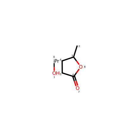 CC(C)O.CC1CCC(=O)O1